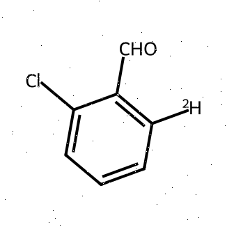 [2H]c1cccc(Cl)c1C=O